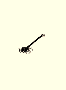 C#CC#CC#CC#CC#CC#CC#CC#CC#CC#CC#CCC(CC)C1C(=O)N(C2CC(C)(C)NC(C)(C)C2)C(=C)C1C